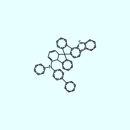 C1=CC2C(C(N(c3ccccc3)c3ccc(-c4ccccc4)cc3)=C1)c1ccccc1C21c2ccccc2-c2c1ccc1c2sc2ccccc21